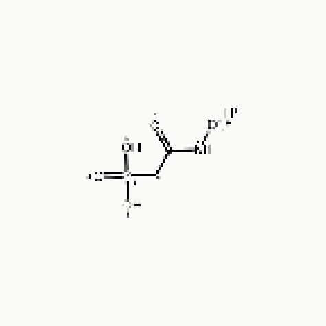 O=C(CP(=O)(O)O)N[O-].[Li+]